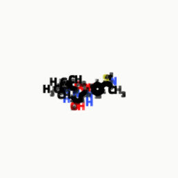 Cc1ncsc1-c1ccc(NC(O)C2CC(O)CN2C(=O)C(NC(C)(C)C)C(C)C)cc1